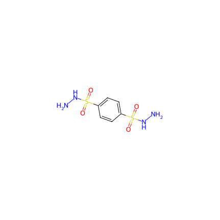 NNS(=O)(=O)c1ccc(S(=O)(=O)NN)cc1